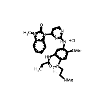 C=CC(=O)Nc1cc(Nc2nccc(-n3c(=O)n(C)c4ccccc43)n2)c(OC)cc1N(C)CCNC.Cl